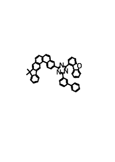 CC1(C)c2ccccc2-c2cc3c(ccc4ccc5cc(-c6nc(-c7cccc(-c8ccccc8)c7)nc(-c7cccc8oc9ccccc9c78)n6)ccc5c43)cc21